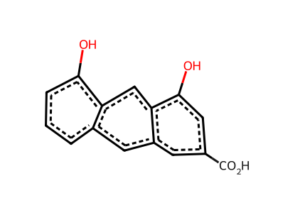 O=C(O)c1cc(O)c2cc3c(O)cccc3cc2c1